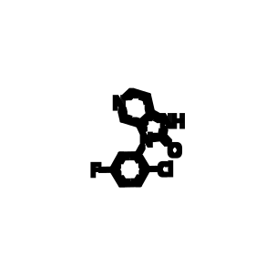 O=c1[nH]c2ccncc2n1-c1cc(F)ccc1Cl